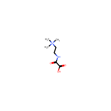 C[N+](C)(C)CCNC(=O)C(=O)O